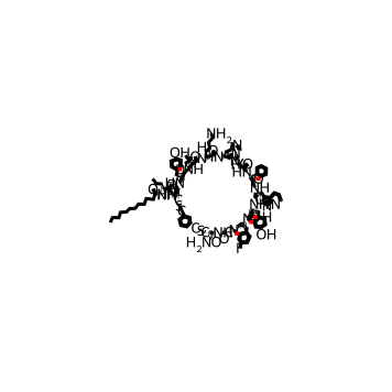 CCCCCCCCCCCC(=O)N[C@@H](CCC)C(=O)N[C@H]1CSCc2cccc(c2)CSC[C@@H](C(N)=O)NC(=O)CN(C)C(=O)[C@H](Cc2ccc(F)cc2)N(C)C(=O)[C@H](Cc2ccc(O)cc2)NC(=O)[C@H](Cc2c[nH]c3ncccc23)NC(=O)[C@H](c2ccccc2)NC(=O)[C@H](C)N(C)C(=O)[C@H](Cc2cnc[nH]2)NC(=O)[C@H](CCCCN)NC(=O)[C@H](C(C)(C)C)NC(=O)[C@H](Cc2ccc(O)cc2)NC1=O